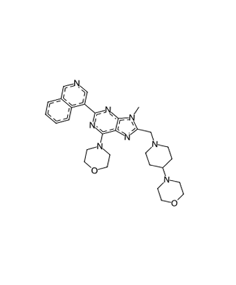 Cn1c(CN2CCC(N3CCOCC3)CC2)nc2c(N3CCOCC3)nc(-c3cncc4ccccc34)nc21